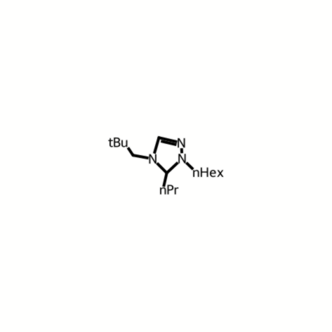 CCCCCCN1N=CN(CC(C)(C)C)C1CCC